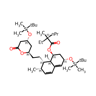 CCC[C@](C)(CC)C(=O)O[C@H]1C[C@H](O[Si](C)(C)C(C)(C)C)C=C2C=C[C@H](C)[C@H](CC[C@@H]3C[C@@H](O[Si](C)(C)C(C)(C)C)CC(=O)O3)[C@H]21